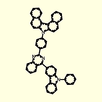 c1ccc(-n2c3ccccc3c3cc(-c4nc(-c5ccc(-n6c7ccc8ccccc8c7c7c8ccccc8ccc76)cc5)nc5ccccc45)ccc32)cc1